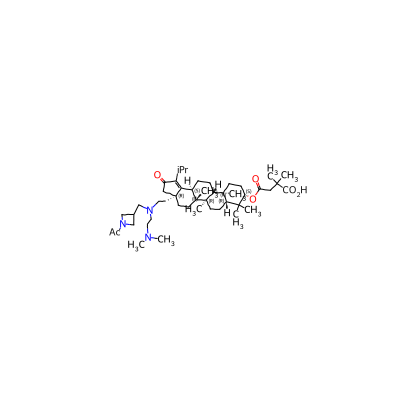 CC(=O)N1CC(CN(CCN(C)C)CC[C@@]23CC[C@]4(C)[C@H](CC[C@@H]5[C@@]6(C)CC[C@H](OC(=O)CC(C)(C)C(=O)O)C(C)(C)[C@@H]6CC[C@]54C)C2=C(C(C)C)C(=O)C3)C1